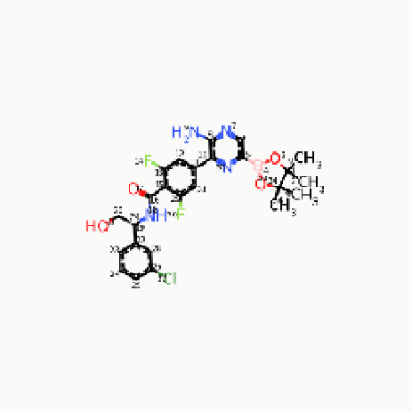 CC1(C)OB(c2cnc(N)c(-c3cc(F)c(C(=O)N[C@H](CO)c4cccc(Cl)c4)c(F)c3)n2)OC1(C)C